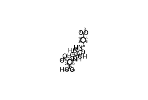 COC(=O)c1ccc(CNC(=O)C(O)C(O)C(=O)Nc2cc(C(=O)O)cc(C(=O)O)c2)cc1